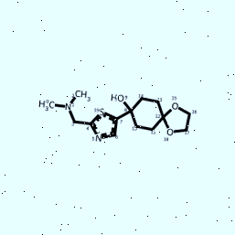 CN(C)Cc1ncc(C2(O)CCC3(CC2)OCCO3)s1